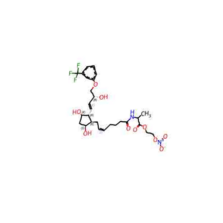 CC(NC(=O)CCC/C=C\C[C@@H]1[C@@H](/C=C/[C@@H](O)COc2cccc(C(F)(F)F)c2)[C@H](O)C[C@@H]1O)C(=O)OCCO[N+](=O)[O-]